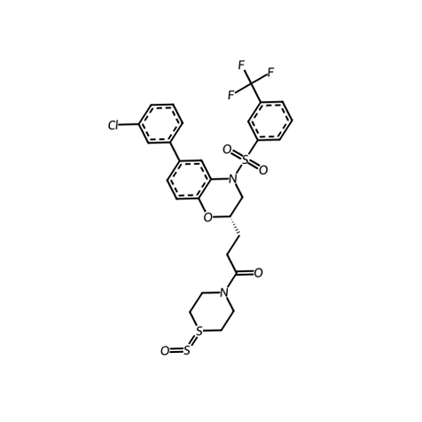 O=S=S1CCN(C(=O)CC[C@H]2CN(S(=O)(=O)c3cccc(C(F)(F)F)c3)c3cc(-c4cccc(Cl)c4)ccc3O2)CC1